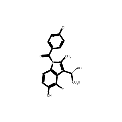 CCC(C)[C@H](C(=O)O)c1c(C)n(C(=O)c2ccc(Cl)cc2)c2ccc(O)c(Cl)c12